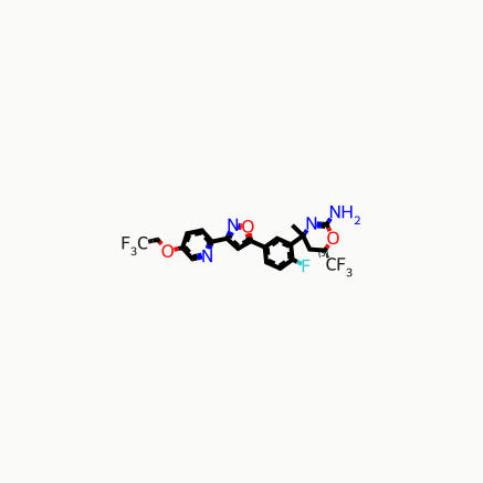 CC1(c2cc(-c3cc(-c4ccc(OCC(F)(F)F)cn4)no3)ccc2F)C[C@@H](C(F)(F)F)OC(N)=N1